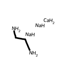 NCCN.[CaH2].[NaH].[NaH]